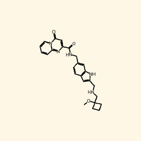 COC1(CNCc2cc3ccc(CNC(=O)c4cc(=O)n5ccccc5n4)cc3[nH]2)CCC1